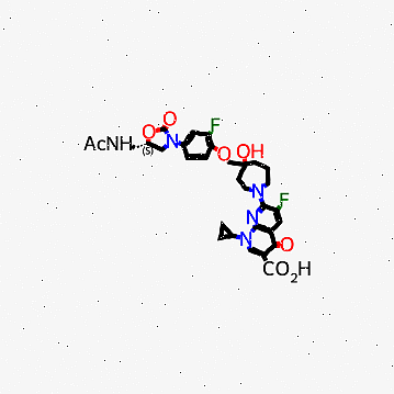 CC(=O)NC[C@H]1CN(c2ccc(OCC3(O)CCCN(c4nc5c(cc4F)c(=O)c(C(=O)O)cn5C4CC4)CC3)c(F)c2)C(=O)O1